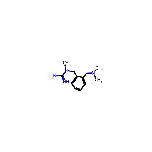 CN(C)Cc1ccccc1CN(C)C(=N)N